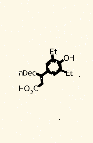 CCCCCCCCCCC(CC(=O)O)c1cc(CC)c(O)c(CC)c1